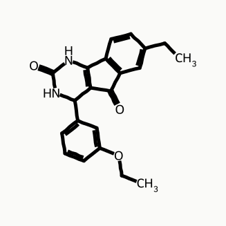 CCOc1cccc(C2NC(=O)NC3=C2C(=O)c2cc(CC)ccc23)c1